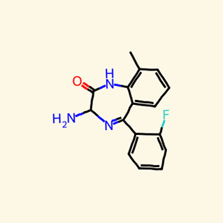 Cc1cccc2c1NC(=O)C(N)N=C2c1ccccc1F